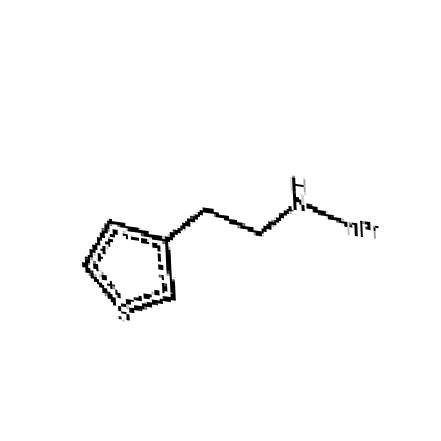 CCCNCCc1ccsc1